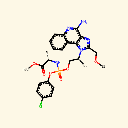 CCCCOC(=O)[C@H](C)N[P@](=O)(OC[C@H](CC)n1c(COCC)nc2c(N)nc3ccccc3c21)Oc1ccc(Cl)cc1